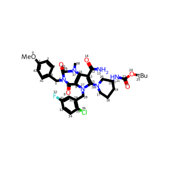 COc1ccc(Cn2c(=O)c3c(c(C(N)=O)c(N4CCC[C@@H](NC(=O)OC(C)(C)C)C4)n3Cc3cc(F)ccc3Cl)n(C)c2=O)cc1